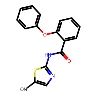 O=Nc1cnc(NC(=O)c2ccccc2Oc2ccccc2)s1